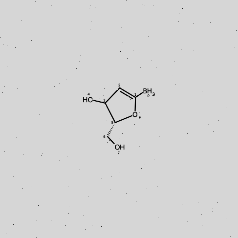 BC1=CC(O)[C@@H](CO)O1